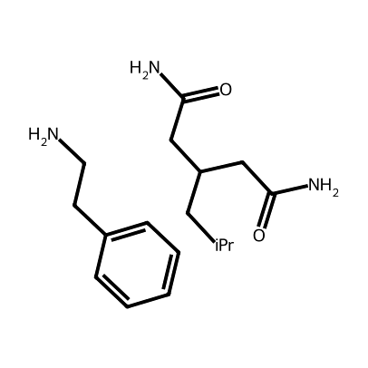 CC(C)CC(CC(N)=O)CC(N)=O.NCCc1ccccc1